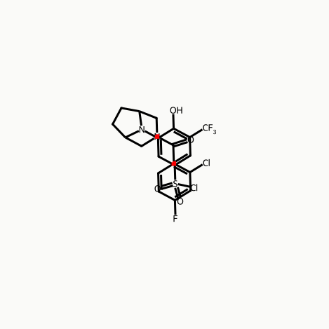 O=C(c1ccc(F)cc1Cl)N1CC2CCC(C1)N2c1cc(S(=O)(=O)Cl)cc(C(F)(F)F)c1O